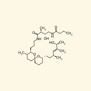 CCCC(=O)NC[C@H](O)[C@H](C)C(=O)NCCC[C@H]1O[C@@]2(CCC[C@@H](CC[C@H](C)/C=C(\C)[C@H](C)O)O2)CCC1C